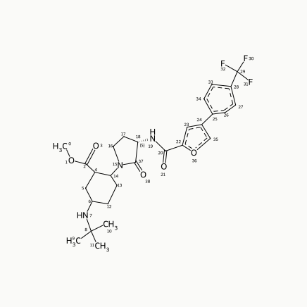 COC(=O)C1CC(NC(C)(C)C)CCC1N1CC[C@H](NC(=O)c2cc(-c3ccc(C(F)(F)F)cc3)co2)C1=O